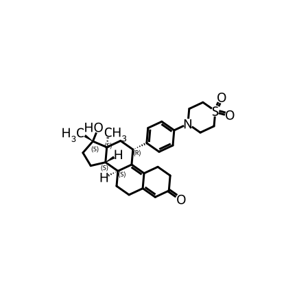 C[C@]1(O)CC[C@H]2[C@@H]3CCC4=CC(=O)CCC4=C3[C@@H](c3ccc(N4CCS(=O)(=O)CC4)cc3)C[C@@]21C